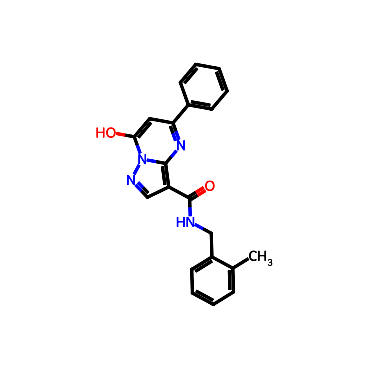 Cc1ccccc1CNC(=O)c1cnn2c(O)cc(-c3ccccc3)nc12